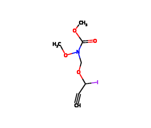 C#CC(I)OCN(OC)C(=O)OC